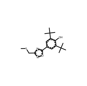 CSCc1noc(-c2cc(C(C)(C)C)c(O)c(C(C)(C)C)c2)n1